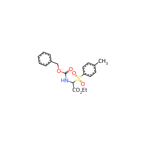 CCOC(=O)C(NC(=O)OCc1ccccc1)S(=O)(=O)c1ccc(C)cc1